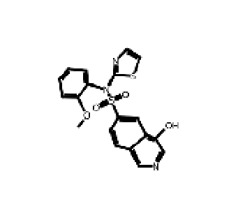 COc1ccccc1N(c1nccs1)S(=O)(=O)c1ccc2cncc(O)c2c1